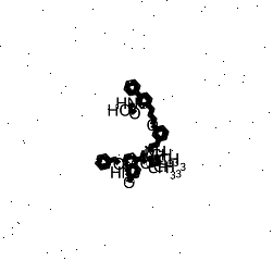 CC(C)(C)[Si](C)(C)OC(CNCCc1cccc(OCCCc2ccc(-c3ccccc3)c(NC(=O)O)c2)c1)c1ccc(OCc2ccccc2)c2[nH]c(=O)ccc12